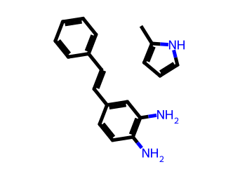 Cc1ccc[nH]1.Nc1ccc(C=Cc2ccccc2)cc1N